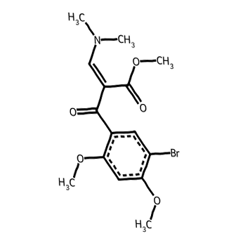 COC(=O)C(=CN(C)C)C(=O)c1cc(Br)c(OC)cc1OC